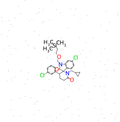 C[Si](C)(C)CCOCN1C(=O)C2(c3ccc(Cl)cc31)C(c1cccc(Cl)c1)CCC(=O)N2CC1CC1